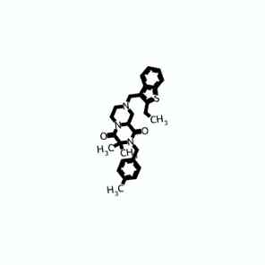 CCc1sc2ccccc2c1CN1CCN2C(=O)C(C)(C)N(Cc3ccc(C)cc3)C(=O)C2C1